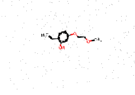 C=Cc1ccc(OCCOC)cc1O